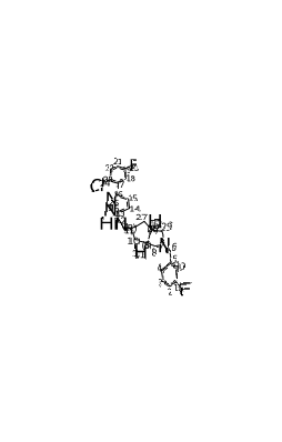 Fc1cccc(CN2C[C@H]3C[C@@H](Nc4ccc(-c5cc(F)ccc5Cl)nn4)C[C@H]3C2)c1